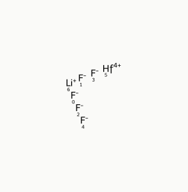 [F-].[F-].[F-].[F-].[F-].[Hf+4].[Li+]